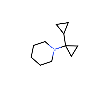 C1CCN(C2(C3CC3)CC2)CC1